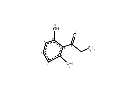 CCC(=O)c1c(O)cccc1O